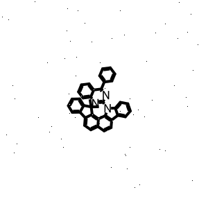 CC1(C)c2ccccc2-c2ccc3ccc4c5ccccc5n(-c5nc(-c6ccccc6)c6ccccc6n5)c4c3c21